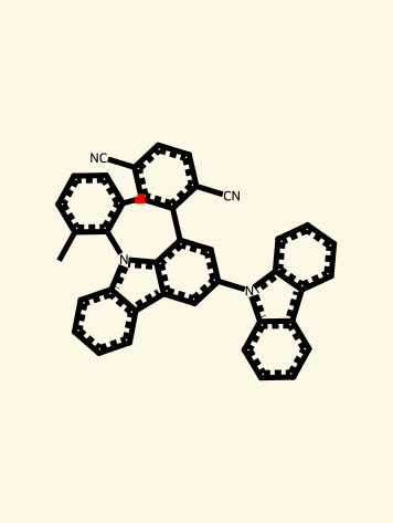 Cc1cccc(C)c1-n1c2ccccc2c2cc(-n3c4ccccc4c4ccccc43)cc(-c3cc(C#N)ccc3C#N)c21